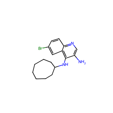 Nc1cnc2ccc(Br)cc2c1NC1CCCCCCC1